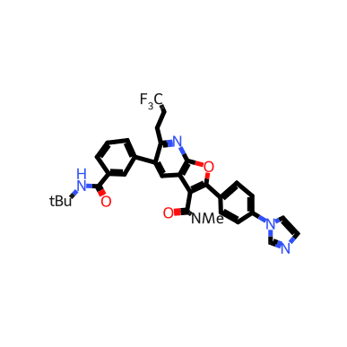 CNC(=O)c1c(-c2ccc(-n3ccnc3)cc2)oc2nc(CCC(F)(F)F)c(-c3cccc(C(=O)NC(C)(C)C)c3)cc12